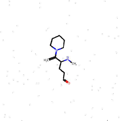 C=C(C(CCC=O)NC)N1CCCCC1